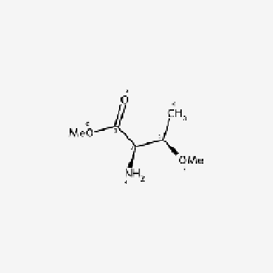 COC(=O)[C@H](N)[C@@H](C)OC